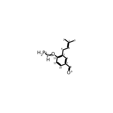 CC(C)=CCc1cc(C=O)ccc1OPP